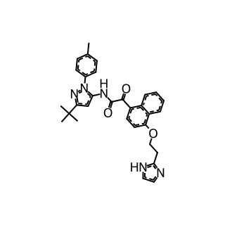 Cc1ccc(-n2nc(C(C)(C)C)cc2NC(=O)C(=O)c2ccc(OCCc3ncc[nH]3)c3ccccc23)cc1